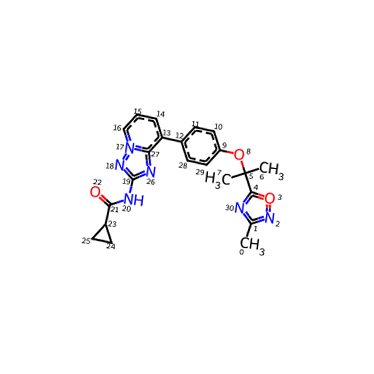 Cc1noc(C(C)(C)Oc2ccc(-c3cccn4nc(NC(=O)C5CC5)nc34)cc2)n1